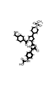 CS(=O)(=O)N1CCC(C2CC(c3nc(Cl)c(-c4ccc(NC(=O)O)cc4)[nH]3)N(C(=O)C3CCC(CN)CC3)C2)CC1